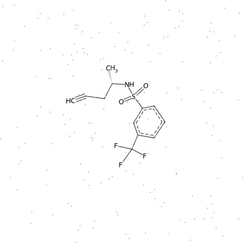 C#CC[C@H](C)NS(=O)(=O)c1cccc(C(F)(F)F)c1